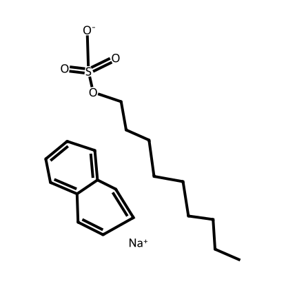 CCCCCCCCCOS(=O)(=O)[O-].[Na+].c1ccc2ccccc2c1